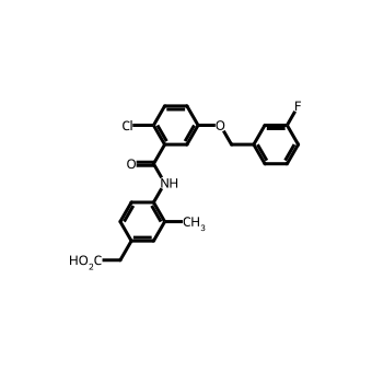 Cc1cc(CC(=O)O)ccc1NC(=O)c1cc(OCc2cccc(F)c2)ccc1Cl